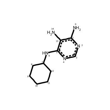 Nc1ncnc(NC2CCCCC2)c1N